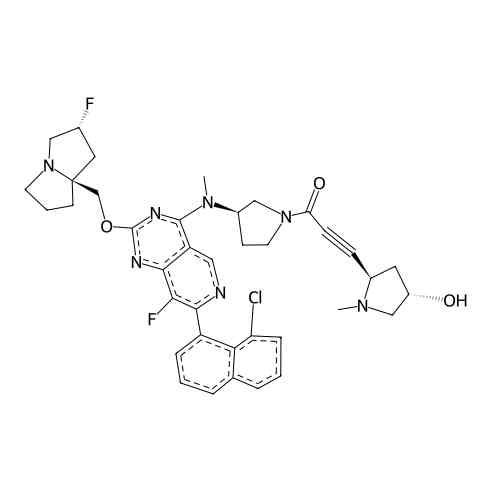 CN1C[C@@H](O)C[C@@H]1C#CC(=O)N1CC[C@@H](N(C)c2nc(OC[C@@]34CCCN3C[C@H](F)C4)nc3c(F)c(-c4cccc5cccc(Cl)c45)ncc23)C1